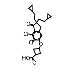 O=C(O)C1CC(Oc2cc3c(c(Cl)c2Cl)C(=O)C(CCC2CC2)(CCC2CC2)C3)C1